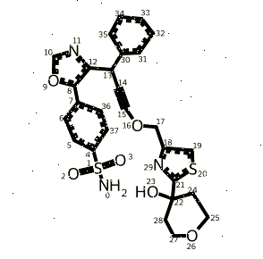 NS(=O)(=O)c1ccc(-c2ocnc2C(C#COCc2csc(C3(O)CCOCC3)n2)c2ccccc2)cc1